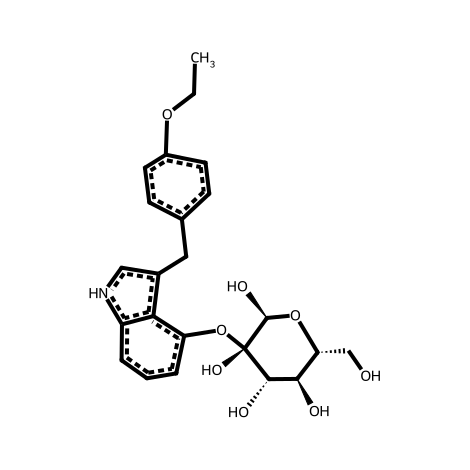 CCOc1ccc(Cc2c[nH]c3cccc(O[C@]4(O)[C@@H](O)O[C@H](CO)[C@@H](O)[C@@H]4O)c23)cc1